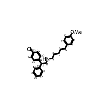 COc1ccc(CCCCCNCC(c2ccccc2)c2ccc(Cl)cc2)cc1